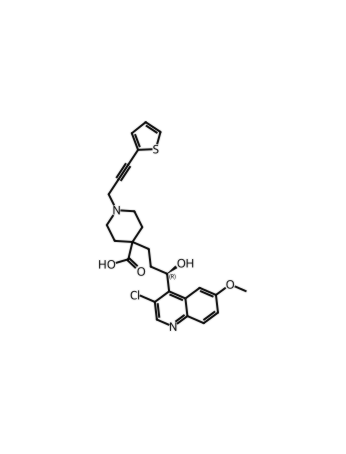 COc1ccc2ncc(Cl)c([C@H](O)CCC3(C(=O)O)CCN(CC#Cc4cccs4)CC3)c2c1